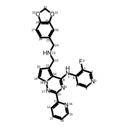 Fc1cnccc1Nc1nc(-c2ccccn2)nn2ccc(CNCc3ccc4c(c3)OCO4)c12